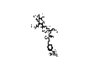 C[N+](C)(CCNC(=O)CCc1ccc(S(C)(=O)=O)cc1)CCNC(=O)c1nc(Cl)c(N)nc1N